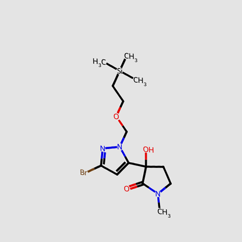 CN1CCC(O)(c2cc(Br)nn2COCC[Si](C)(C)C)C1=O